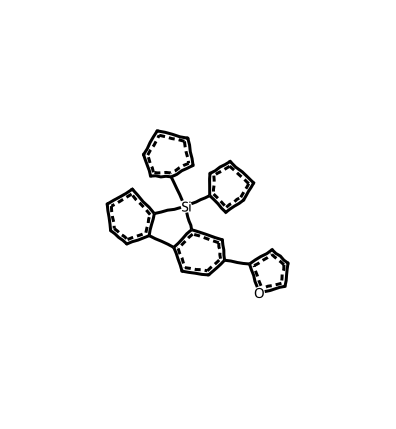 c1ccc([Si]2(c3ccccc3)c3ccccc3-c3ccc(-c4ccco4)cc32)cc1